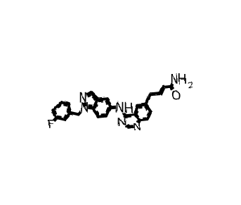 NC(=O)/C=C/Cc1ccc2ncnc(Nc3ccc4c(cnn4Cc4cccc(F)c4)c3)c2c1